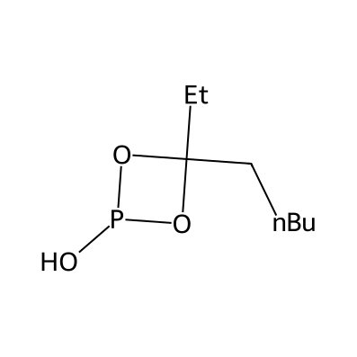 CCCCCC1(CC)OP(O)O1